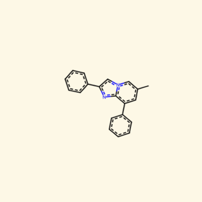 Cc1cc(-c2ccccc2)c2nc(-c3ccccc3)cn2c1